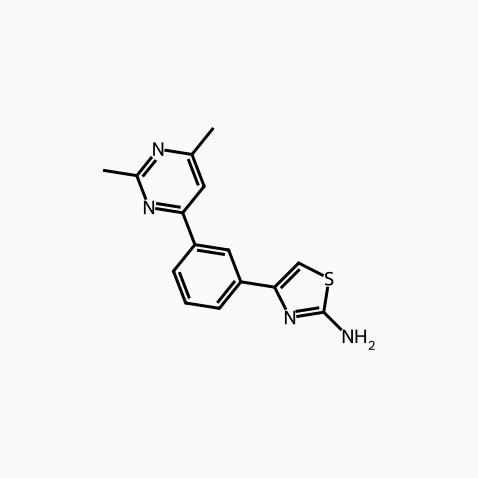 Cc1cc(-c2cccc(-c3csc(N)n3)c2)nc(C)n1